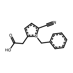 N#Cc1ccc(CC(=O)O)n1Cc1ccccc1